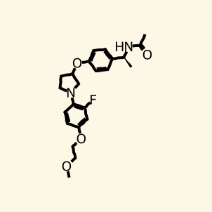 COCCOc1ccc(N2CCC(Oc3ccc([C@H](C)NC(C)=O)cc3)C2)c(F)c1